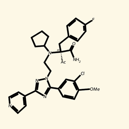 COc1ccc(-c2nc(-c3ccncc3)nn2CCN(C2CCCC2)[C@](Cc2ccc(F)cc2)(C(C)=O)C(N)=O)cc1Cl